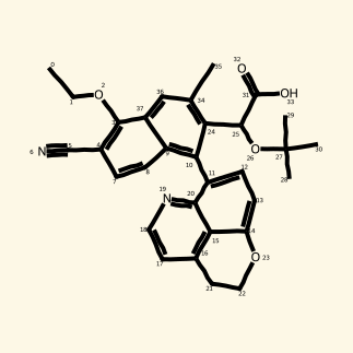 CCOc1c(C#N)ccc2c(-c3ccc4c5c(ccnc35)CCO4)c(C(OC(C)(C)C)C(=O)O)c(C)cc12